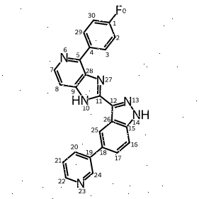 Fc1ccc(-c2nccc3[nH]c(-c4n[nH]c5ccc(-c6cccnc6)cc45)nc23)cc1